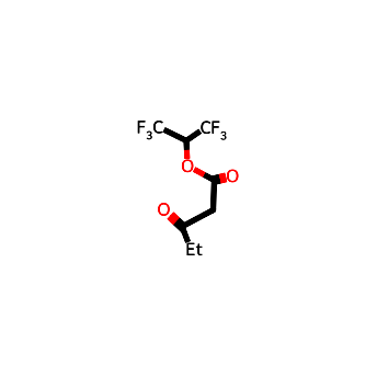 CCC(=O)CC(=O)OC(C(F)(F)F)C(F)(F)F